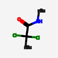 CCCCNC(=O)C(Cl)(Cl)CCCC